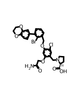 NC(=O)COc1cc(OCc2cccc(-c3ccc4c(c3)OCCO4)c2Br)c(Cl)cc1CN1CCC[C@H]1C(=O)O